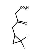 O=C(O)CC(=O)CC1CC1(F)F